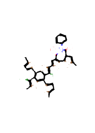 Cc1ccc(-c2c3sc(-c4cc5c(=O)n(-c6ccccc6)c(=O)c6cc(C)sc6c5s4)c(Cl)c3c(-c3ccc(C)s3)c3sc(C)c(Cl)c23)s1